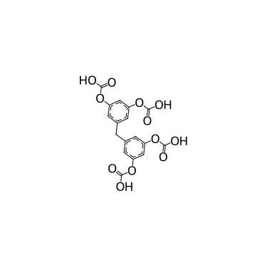 O=C(O)Oc1cc(Cc2cc(OC(=O)O)cc(OC(=O)O)c2)cc(OC(=O)O)c1